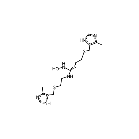 Cc1nc[nH]c1CSCC/N=C(\NO)NCCSCc1[nH]cnc1C